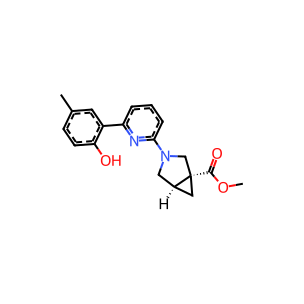 COC(=O)[C@]12C[C@H]1CN(c1cccc(-c3cc(C)ccc3O)n1)C2